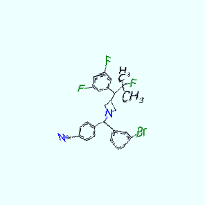 CC(C)(F)C(c1cc(F)cc(F)c1)C1CN(C(c2ccc(C#N)cc2)c2cccc(Br)c2)C1